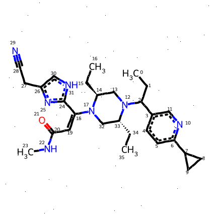 CCC(c1ccc(C2CC2)nc1)N1C[C@H](CC)N(/C(=C/C(=O)NC)c2nc(CC#N)c[nH]2)C[C@H]1CC